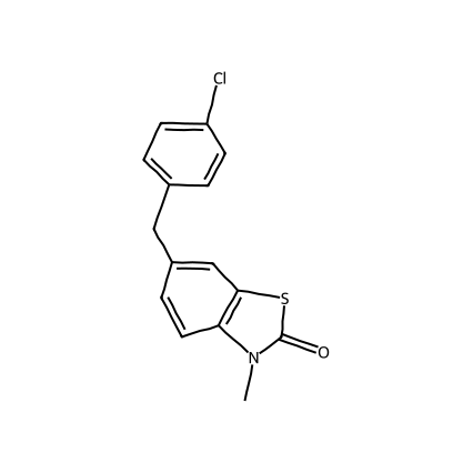 Cn1c(=O)sc2cc(Cc3ccc(Cl)cc3)ccc21